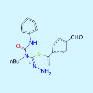 C=C(S/C(=N\N)N(CCCC)C(=O)Nc1ccccc1)c1ccc(C=O)cc1